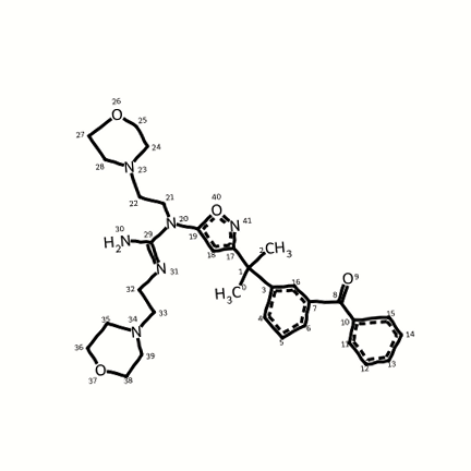 CC(C)(c1cccc(C(=O)c2ccccc2)c1)c1cc(N(CCN2CCOCC2)C(N)=NCCN2CCOCC2)on1